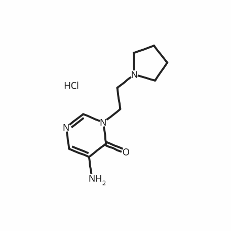 Cl.Nc1cncn(CCN2CCCC2)c1=O